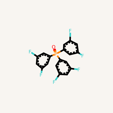 O=P(c1cc(F)cc(F)c1)(c1cc(F)cc(F)c1)c1cc(F)cc(F)c1